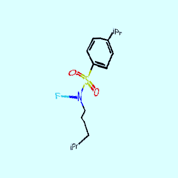 CC(C)CCCN(F)S(=O)(=O)c1ccc(C(C)C)cc1